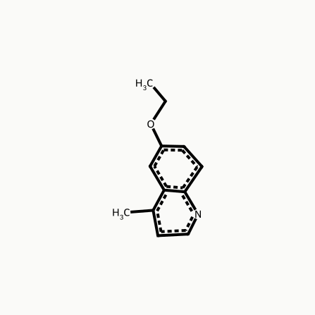 CCOc1ccc2nccc(C)c2c1